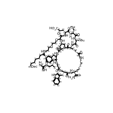 CCCCCCCCCCCCCCCC(=O)NCCOCCOCC(=O)N[C@@H](CCC(=O)O)C(=O)N[C@@H](CO)C(=O)N[C@@H](CCCC)C(=O)N[C@H]1CCC(=O)NCCCC[C@@H](C(N)=O)NC(=O)[C@H](Cc2c[nH]c3ccccc23)NC(=O)[C@H](CCCNC(=N)N)NC(=O)C(Cc2ccccc2)NC(=O)[C@@H]2C[C@@H](O)CN2C1=O